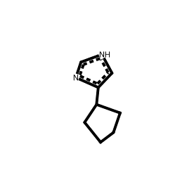 c1nc(C2CCCC2)c[nH]1